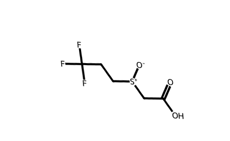 O=C(O)C[S+]([O-])CCC(F)(F)F